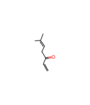 C=CC(=O)CC=C(C)C